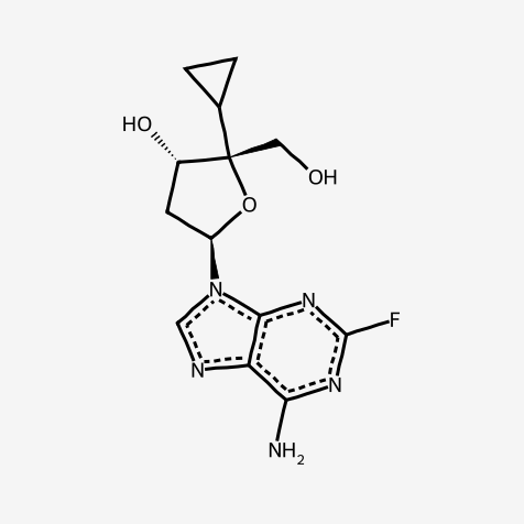 Nc1nc(F)nc2c1ncn2[C@H]1C[C@H](O)[C@](CO)(C2CC2)O1